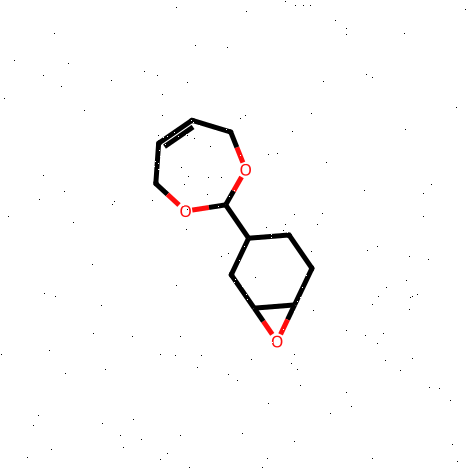 C1=CCOC(C2CCC3OC3C2)OC1